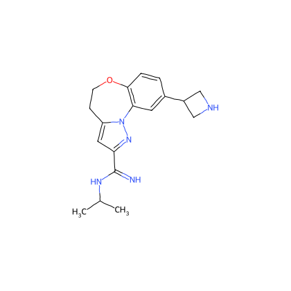 CC(C)NC(=N)c1cc2n(n1)-c1cc(C3CNC3)ccc1OCC2